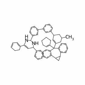 CC1CC(C2(C3=CCCCC3)c3ccccc3C3CC3c3ccccc32)=CC(c2cccc(-c3cccc(C4NC(C5=CC=CCC5)=CC(c5ccccc5)N4)c3)c2)C1